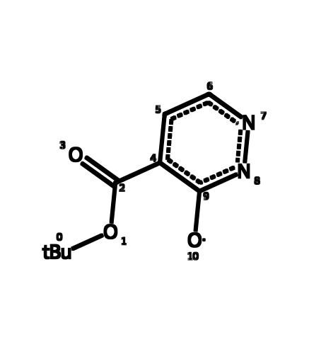 CC(C)(C)OC(=O)c1ccnnc1[O]